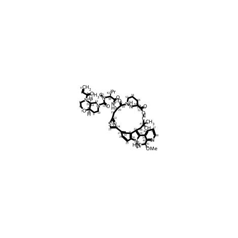 C=CC(=O)N1CCO[C@@H]2CCN(C(=O)N(C)[C@H](C(=O)N[C@H]3Cc4nc(cs4)-c4ccc5c(c4)c(c(-c4cccnc4[C@H](C)OC)n5CC)CC(C)(C)COC(=O)[C@@H]4CCCN(N4)C3=O)C(C)C)C[C@@H]21